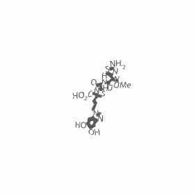 CO/N=C(\C(=O)NC1C(=O)N2C(C(=O)O)=C(/C=C/Cn3cnc4cc(O)c(O)cc43)CS[C@H]12)c1csc(N)n1